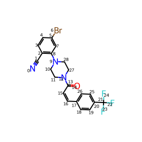 N#Cc1ccc(Br)cc1N1CCN(C(=O)/C=C\c2ccc(C(F)(F)F)cc2)CC1